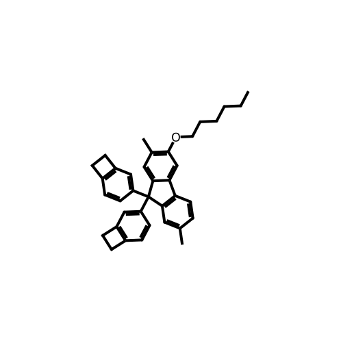 CCCCCCOc1cc2c(cc1C)C(c1ccc3c(c1)CC3)(c1ccc3c(c1)CC3)c1cc(C)ccc1-2